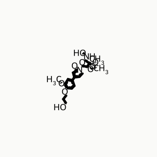 COc1cc(-c2ccn(CCC(C)(C(=O)NO)S(C)(=O)=O)c(=O)c2)ccc1OCCCO